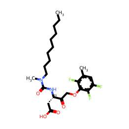 CCCCCCCCCCN(C)C(=O)N[C@@H](CC(=O)O)C(=O)COc1c(F)c(C)cc(F)c1F